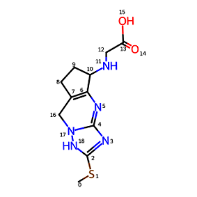 CSC1=NC2=NC3=C(CCC3NCC(=O)O)CN2N1